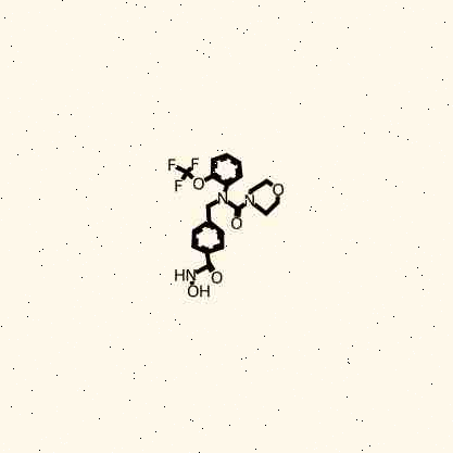 O=C(NO)c1ccc(CN(C(=O)N2CCOCC2)c2ccccc2OC(F)(F)F)cc1